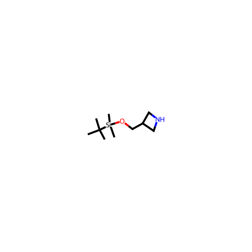 CC(C)(C)[Si](C)(C)OCC1CNC1